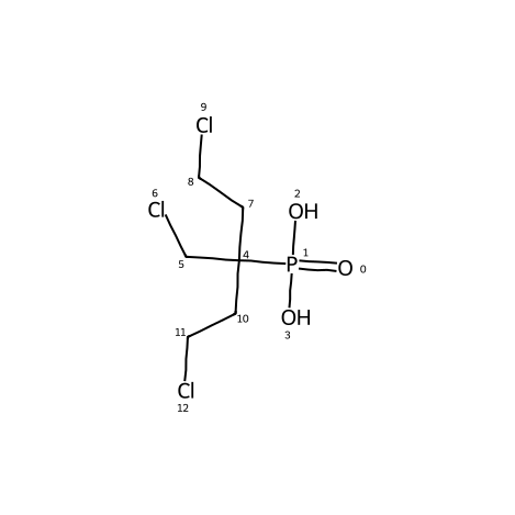 O=P(O)(O)C(CCl)(CCCl)CCCl